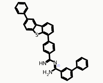 N=C(/N=C(\N)c1cccc(-c2ccccc2)c1)c1ccc(-c2cccc3c2sc2ccc(-c4ccccc4)cc23)cc1